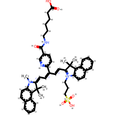 CN1/C(=C/C=C(/C=C/C2=[N+](CCCS(=O)(=O)O)c3ccc4ccccc4c3C2(C)C)c2ccc(C(=O)NCCCCCC(=O)O)cn2)C(C)(C)c2c1ccc1ccccc21